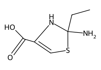 CCC1(N)NC(C(=O)O)=CS1